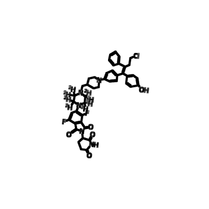 [2H]C1([2H])N(CC2CCN(c3ccc(C(=C(CCCl)c4ccccc4)c4ccc(O)cc4)cc3)CC2)C([2H])([2H])C([2H])([2H])N(c2cc(F)c3c(c2F)C(=O)N(C2CCC(=O)NC2=O)C3=O)C1([2H])[2H]